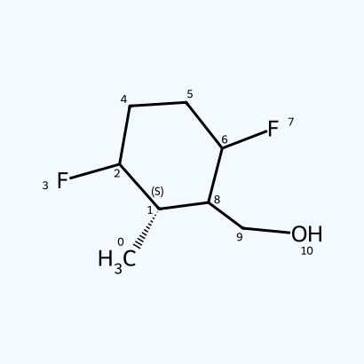 C[C@@H]1C(F)CCC(F)C1CO